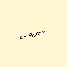 Cc1c(OCCCN2[C@H](C)CC[C@H]2C)cccc1-c1cccc(-c2ccc(CNCCC(=O)O)cc2)c1C